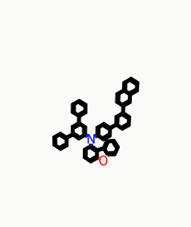 c1ccc(-c2cc(-c3ccccc3)cc(N(c3ccc(-c4cccc(-c5ccc6ccccc6c5)c4)cc3)c3cccc4oc5ccccc5c34)c2)cc1